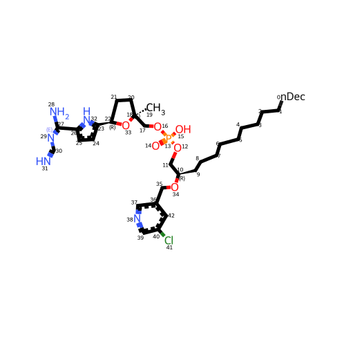 CCCCCCCCCCCCCCCCCCC[C@H](COP(=O)(O)OC[C@]1(C)CC[C@H](c2ccc(/C(N)=N\C=N)[nH]2)O1)OCc1cncc(Cl)c1